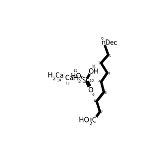 CCCCCCCCCCCCCCCCCC(=O)O.O=[Si](O)O.[CaH2].[CaH2]